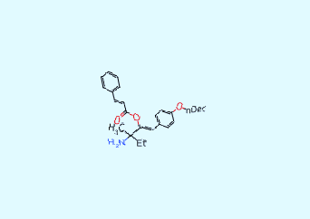 CCCCCCCCCCOc1ccc(C=C(OC(=O)C=Cc2ccccc2)C(C)(N)CC)cc1